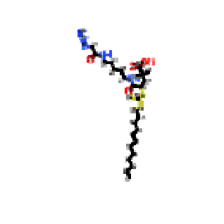 CCCCCCCCCCCCSC(=S)SC(CC(C)(C)C(=O)O)C(=O)NCCCCCNC(=O)CN=[N+]=[N-]